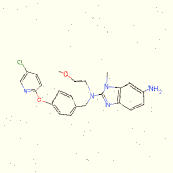 COCCN(Cc1ccc(Oc2ccc(Cl)cn2)cc1)c1nc2ccc(N)cc2n1C